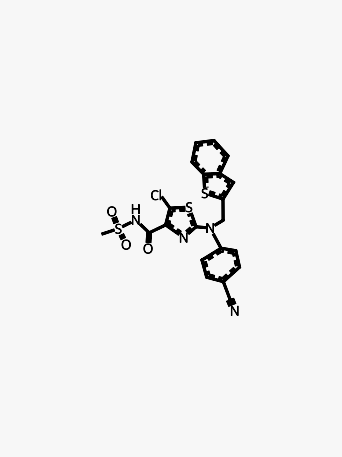 CS(=O)(=O)NC(=O)c1nc(N(Cc2cc3ccccc3s2)c2ccc(C#N)cc2)sc1Cl